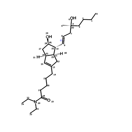 CCCC[C@](C)(O)C/C=C/[C@@H]1[C@H]2CC(CCCCC(=O)N(CC)CC)=C[C@H]2C[C@H]1O